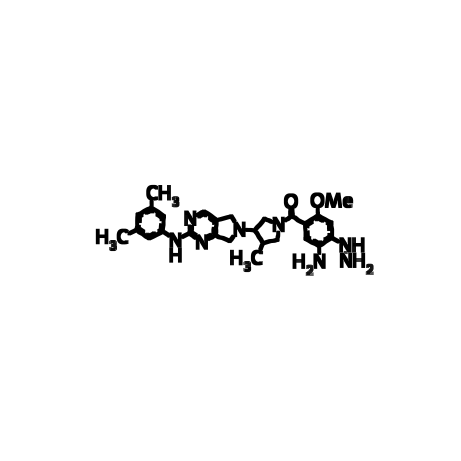 COc1cc(NN)c(N)cc1C(=O)N1CC(C)C(N2Cc3cnc(Nc4cc(C)cc(C)c4)nc3C2)C1